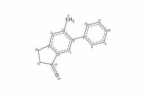 Cc1cc2c(cc1-c1ccccc1)C(=O)CC2